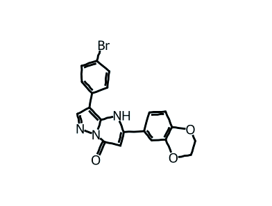 O=c1cc(-c2ccc3c(c2)OCCO3)[nH]c2c(-c3ccc(Br)cc3)cnn12